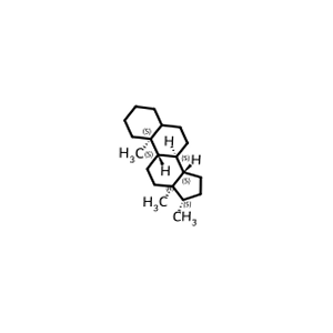 C[C@H]1CC[C@H]2[C@@H]3CCC4CCCC[C@]4(C)[C@H]3CC[C@]12C